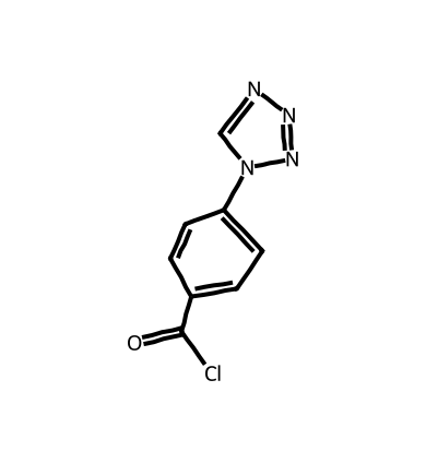 O=C(Cl)c1ccc(-n2cnnn2)cc1